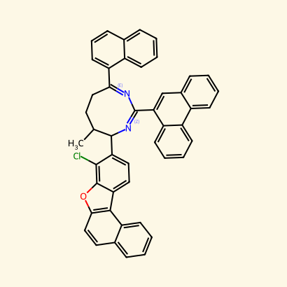 CC1CC/C(c2cccc3ccccc23)=N\C(c2cc3ccccc3c3ccccc23)=N/C1c1ccc2c(oc3ccc4ccccc4c32)c1Cl